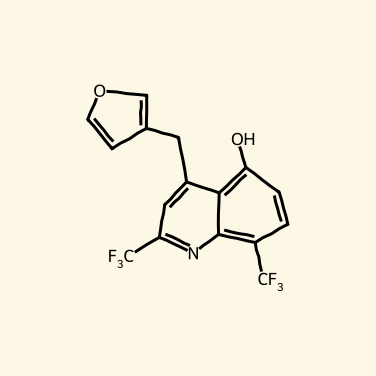 Oc1ccc(C(F)(F)F)c2nc(C(F)(F)F)cc(Cc3ccoc3)c12